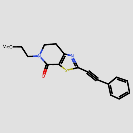 COCCN1CCc2nc(C#Cc3ccccc3)sc2C1=O